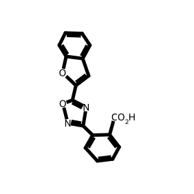 O=C(O)c1ccccc1-c1noc(-c2cc3ccccc3o2)n1